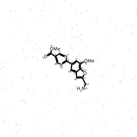 COC(=O)c1cnc(-c2cc(OC)c3oc(CN)cc3c2)nc1